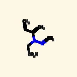 C=CC(=C)N(CC(=O)O)N=C